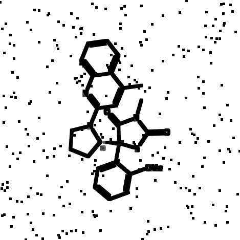 COc1ccccc1C1([C@@H]2CCCN2c2cc(C)c3ccccc3n2)SC(=O)N(C)C1=O